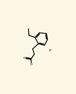 CCc1ccccc1CCC(=O)[O-].[K+]